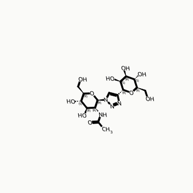 CC(=O)N[C@@H]1[C@@H](O)[C@H](O)[C@@H](CO)O[C@H]1n1cc([C@H]2O[C@H](CO)[C@@H](O)[C@H](O)[C@@H]2O)nn1